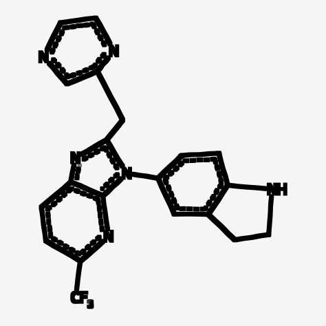 FC(F)(F)c1ccc2nc(Cc3cnccn3)n(-c3ccc4c(c3)CCN4)c2n1